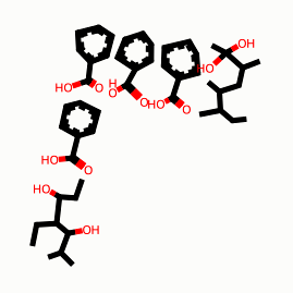 CCC(C)C(C)CC(C)C(C)(O)O.CCC(O)C(CC)C(O)C(C)C.O=C(O)c1ccccc1.O=C(O)c1ccccc1.O=C(O)c1ccccc1.O=C(O)c1ccccc1